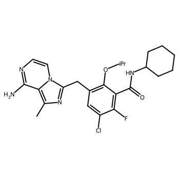 Cc1nc(Cc2cc(Cl)c(F)c(C(=O)NC3CCCCC3)c2OC(C)C)n2ccnc(N)c12